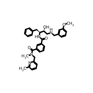 COc1cccc(CNC[C@@H](O)[C@H](Cc2ccccc2)NC(=O)c2cccc(C(=O)N(C)Cc3cccc(C)n3)c2)c1